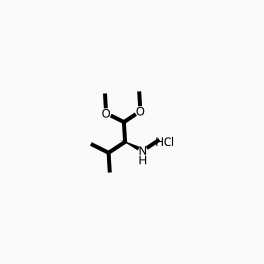 CN[C@@H](C(C)C)C(OC)OC.Cl